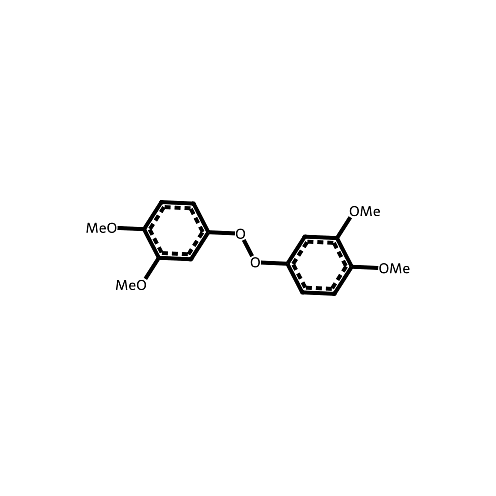 COc1ccc(OOc2ccc(OC)c(OC)c2)cc1OC